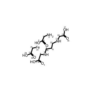 NCC(=O)O.O=C(O)CNCCCNCC(=O)O.O=C(O)[CH2][Fe]